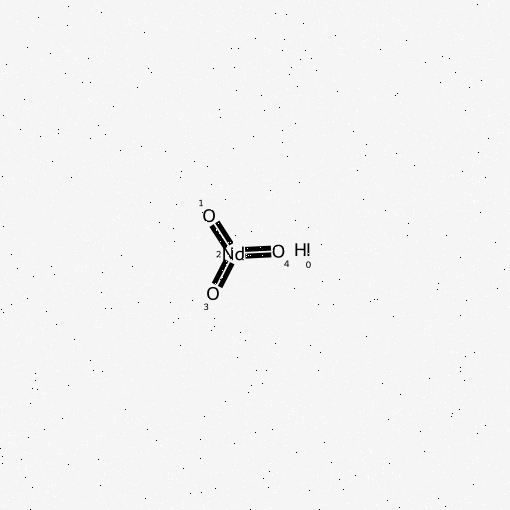 I.[O]=[Nd](=[O])=[O]